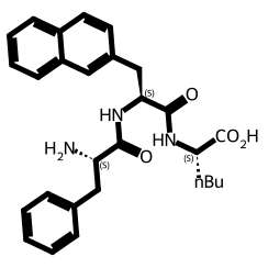 CCCC[C@H](NC(=O)[C@H](Cc1ccc2ccccc2c1)NC(=O)[C@@H](N)Cc1ccccc1)C(=O)O